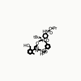 Cc1cccc(CO)c1-c1cc2nc(n1)NS(=O)(=O)c1cccc(c1)C(=O)N(C1CCC(NC(=O)OC(C)C)CC1)[C@H](CC(C)(C)C)CO2